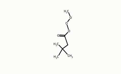 COOOC(=O)CC(C)(C)C